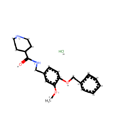 COc1cc(CNC(=O)C2CCNCC2)ccc1OCc1ccccc1.Cl